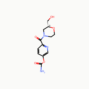 NC(=O)Oc1ccc(C(=O)N2CCO[C@@H](CO)C2)nc1